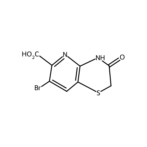 O=C1CSc2cc(Br)c(C(=O)O)nc2N1